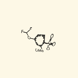 COc1cc(OC(F)F)ccc1S(=O)(=O)Cl